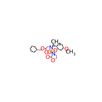 COc1ccc([C@H](C)N(CC(=O)OCc2ccccc2)S(=O)(=O)N2CCOC2=O)cc1